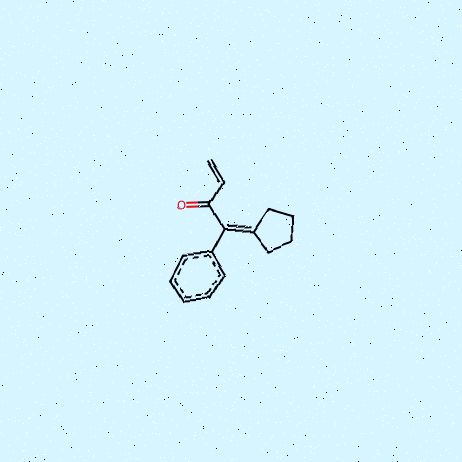 C=CC(=O)C(=C1CCCC1)c1ccccc1